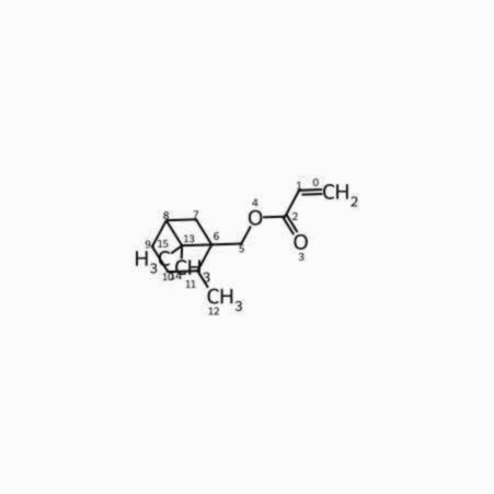 C=CC(=O)OCC12CC(CCC1C)C2(C)C